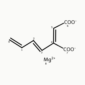 C=CC=C/C(=C/C(=O)[O-])C(=O)[O-].[Mg+2]